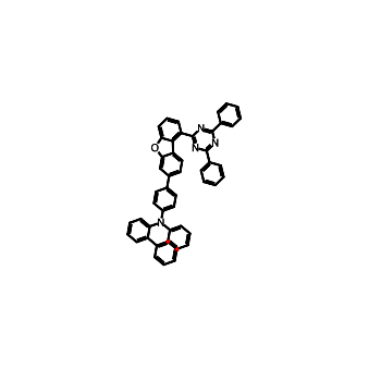 c1ccc(-c2nc(-c3ccccc3)nc(-c3cccc4oc5cc(-c6ccc(N(c7ccccc7)c7ccccc7-c7ccccc7)cc6)ccc5c34)n2)cc1